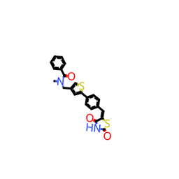 CN(Cc1csc(-c2ccc(/C=C3/SC(=O)NC3=O)cc2)c1)C(=O)c1ccccc1